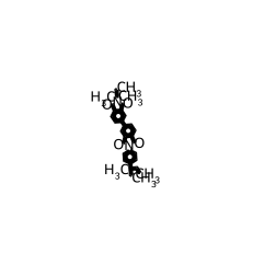 CCC(C)(CC)c1ccc(N2C(=O)c3ccc(-c4ccc5c(c4)C(=O)N(C(C)(C)CC)C5=O)cc3C2=O)cc1